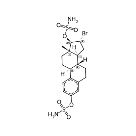 C[C@]12CC[C@@H]3c4ccc(OS(N)(=O)=O)cc4CC[C@H]3[C@@H]1C[C@@H](Br)[C@@H]2OS(N)(=O)=O